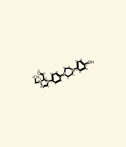 CCN1N=CN(c2ccc(N3CCN(c4ccc(O)cc4)CC3)cc2)C1C=O